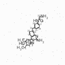 CCCCc1nc2c(N)nc3cc(Cc4cccc(NC(=O)CN)c4)ccc3c2n1CC(C)(C)O